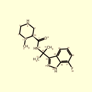 CN1CCNC[C@H]1C(=O)NC(C)(C)c1n[nH]c2c(F)cccc12